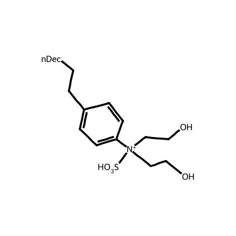 CCCCCCCCCCCCc1ccc([N+](CCO)(CCO)S(=O)(=O)O)cc1